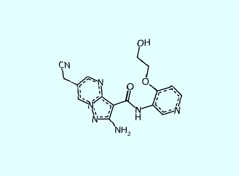 N#CCc1cnc2c(C(=O)Nc3cnccc3OCCO)c(N)nn2c1